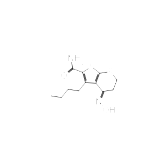 CCCCc1c(C(N)=O)sc2c1C(=NO)CCS2